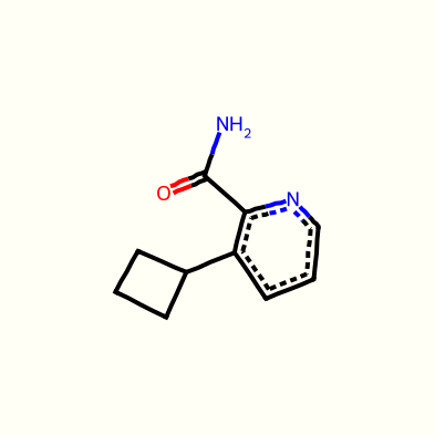 NC(=O)c1ncccc1C1CCC1